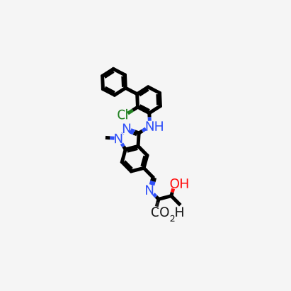 CC(O)C(N=Cc1ccc2c(c1)c(Nc1cccc(-c3ccccc3)c1Cl)nn2C)C(=O)O